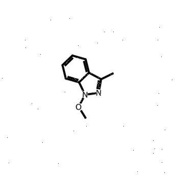 COn1nc(C)c2ccccc21